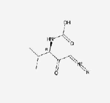 CC(C)[C@@H](NC(=O)O)C(=O)C=[N+]=[N-]